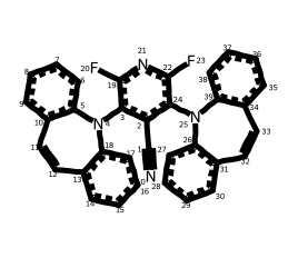 N#Cc1c(N2c3ccccc3C=Cc3ccccc32)c(F)nc(F)c1N1c2ccccc2C=Cc2ccccc21